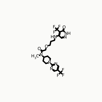 CN(C(=O)COCCCNc1cn[nH]c(=O)c1C(F)(F)F)C1CCN(c2ncc(C(F)(F)F)cn2)CC1